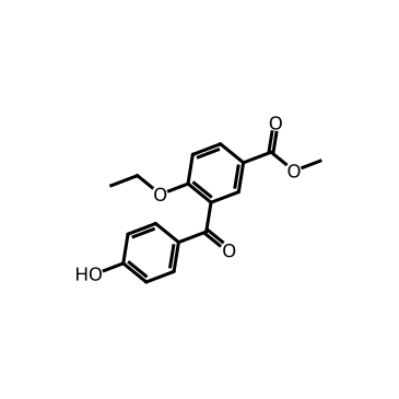 CCOc1ccc(C(=O)OC)cc1C(=O)c1ccc(O)cc1